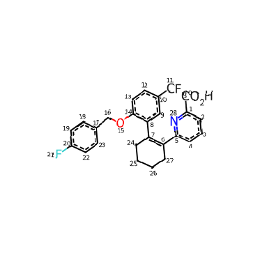 O=C(O)c1cccc(C2=C(c3cc(C(F)(F)F)ccc3OCc3ccc(F)cc3)CCCC2)n1